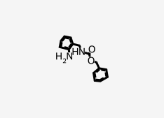 Nc1ccccc1CNC(=O)OCc1ccccc1